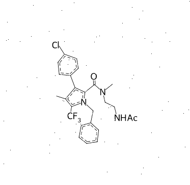 CC(=O)NCCN(C)C(=O)c1c(-c2ccc(Cl)cc2)c(C)c(C(F)(F)F)n1Cc1ccccc1